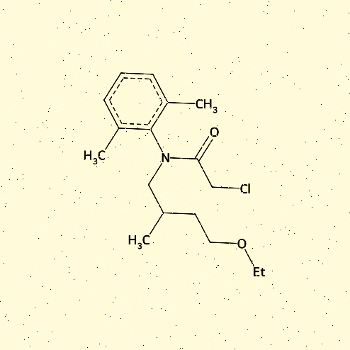 CCOCCC(C)CN(C(=O)CCl)c1c(C)cccc1C